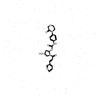 O=C(Nc1ccc(N2CCOCC2=O)cc1)O[C@@H]1C[C@@H](O)CN1C(=O)/C=C/c1cccnc1